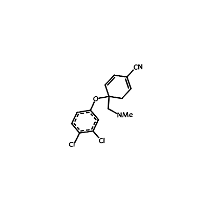 CNCC1(Oc2ccc(Cl)c(Cl)c2)C=CC(C#N)=CC1